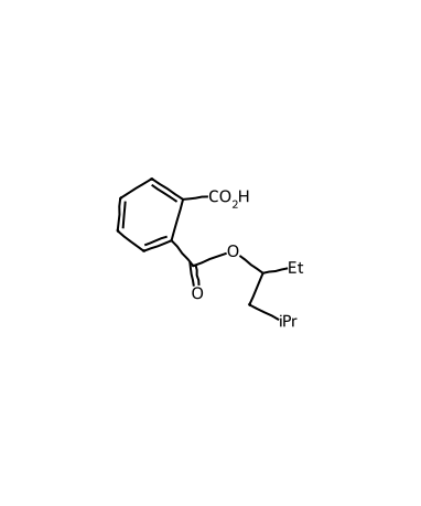 CCC(CC(C)C)OC(=O)c1ccccc1C(=O)O